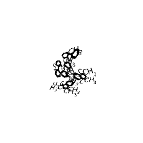 CC1(C)CC(C)(C)c2cc(N3c4cc5c(cc4B4c6ccc(N7c8ccccc8C8(C)CCCCC78C)cc6N(c6cccc7sc8ccccc8c67)c6cccc3c64)C(C)(C)CC5(C)C)ccc21